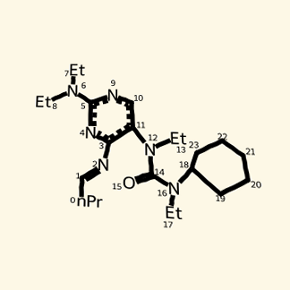 [CH2]CCC=Nc1nc(N(CC)CC)ncc1N(CC)C(=O)N(CC)C1CCCCC1